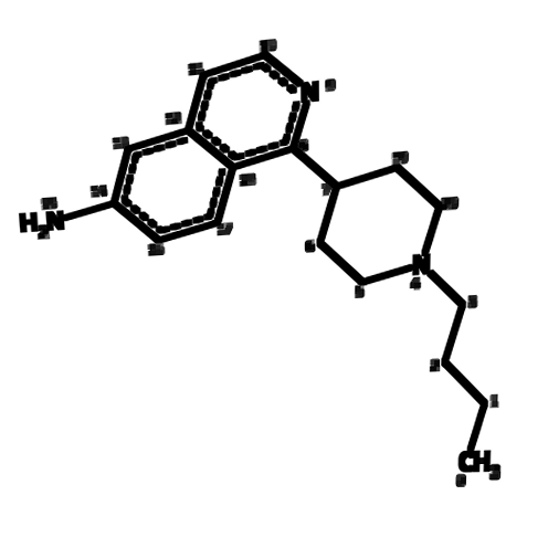 CCCCN1CCC(c2nccc3cc(N)ccc23)CC1